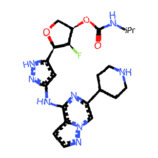 CC(C)NC(=O)O[C@@H]1CO[C@H](c2cc(Nc3nc(C4CCNCC4)cn4nccc34)n[nH]2)[C@@H]1F